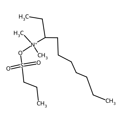 CCCCCCCC(CC)[N+](C)(C)OS(=O)(=O)CCC